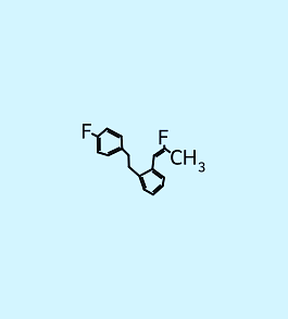 C/C(F)=C\c1ccccc1CCc1ccc(F)cc1